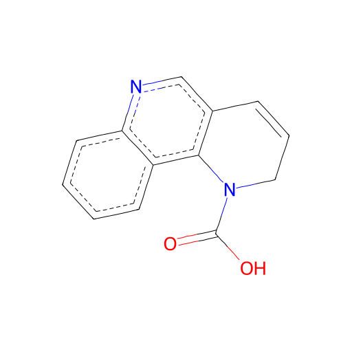 O=C(O)N1CC=Cc2cnc3ccccc3c21